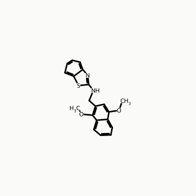 COc1cc(CNc2nc3ccccc3s2)c(OC)c2ccccc12